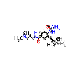 CN(C)CCCNC(=O)c1ccc(NC(N)=O)c(C#C[Si](C)(C)C)c1